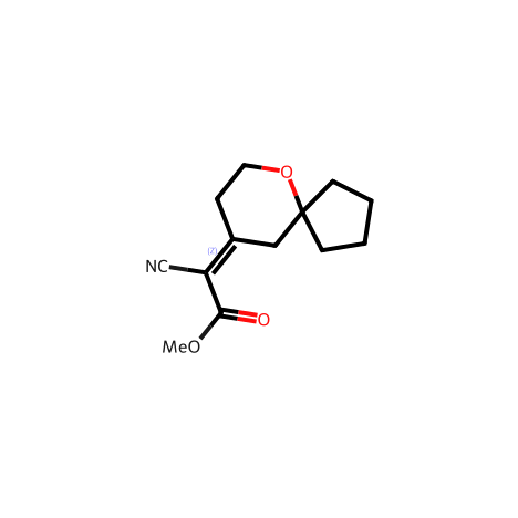 COC(=O)/C(C#N)=C1/CCOC2(CCCC2)C1